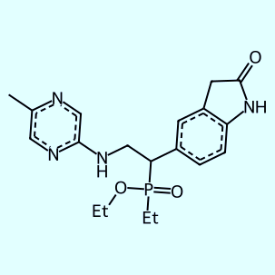 CCOP(=O)(CC)C(CNc1cnc(C)cn1)c1ccc2c(c1)CC(=O)N2